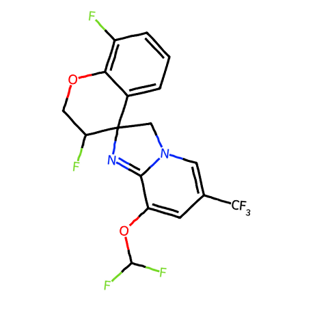 Fc1cccc2c1OCC(F)C21CN2C=C(C(F)(F)F)C=C(OC(F)F)C2=N1